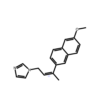 COc1ccc2cc(/C(C)=C\Cn3ccnc3)ccc2c1